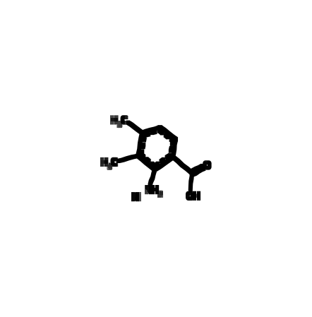 Cc1ccc(C(=O)O)c(N)c1C.[Ni]